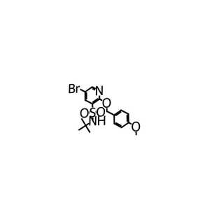 COc1ccc(COc2ncc(Br)cc2S(=O)(=O)NC(C)(C)C)cc1